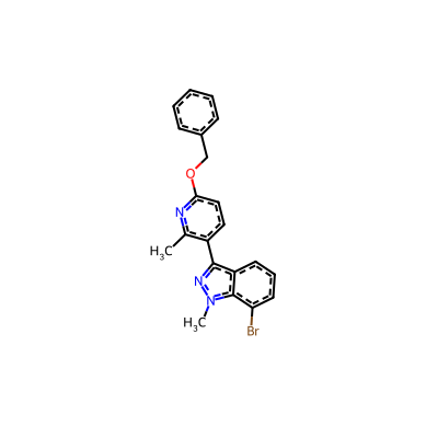 Cc1nc(OCc2ccccc2)ccc1-c1nn(C)c2c(Br)cccc12